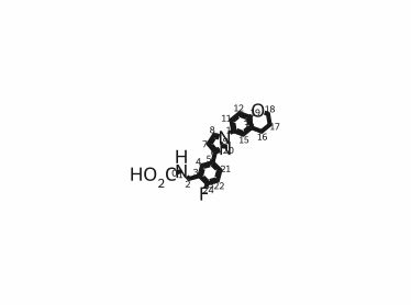 O=C(O)NCc1cc(-c2ccn(-c3ccc4c(c3)CCCO4)n2)ccc1F